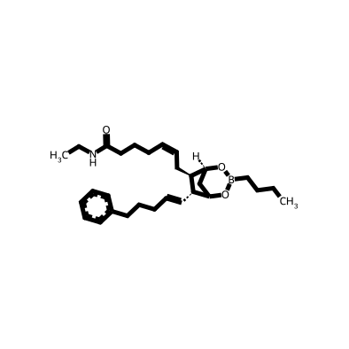 CCCCB1OC2C[C@H](O1)[C@H](C/C=C\CCCC(=O)NCC)[C@H]2/C=C/CCCc1ccccc1